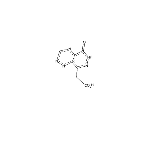 O=C(O)Cc1n[nH]c(=O)c2ncnnc12